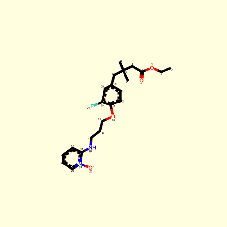 CCOC(=O)CC(C)(C)Cc1ccc(OCCCNc2cccc[n+]2[O-])c(F)c1